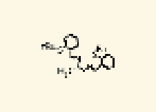 C[C@H](CN=Cc1ccccc1SC(C)(C)C)N=Cc1ccccc1SC(C)(C)C